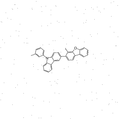 Cc1cccc(-n2c3ccccc3c3cc(-c4ccc5c(oc6ccccc65)c4C)ccc32)c1